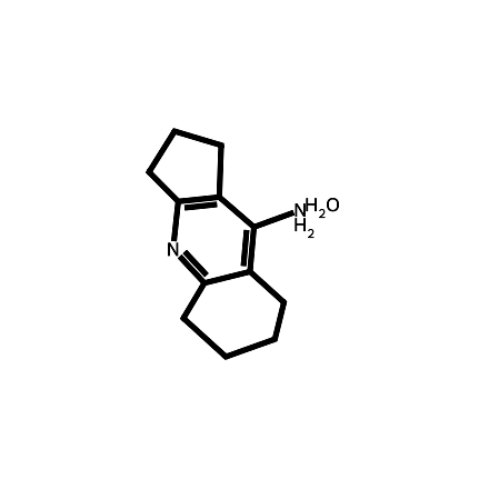 Nc1c2c(nc3c1CCC3)CCCC2.O